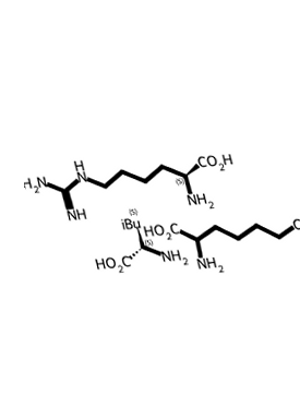 CC[C@H](C)[C@H](N)C(=O)O.N=C(N)NCCCC[C@H](N)C(=O)O.NC(CCCCC(=O)O)C(=O)O